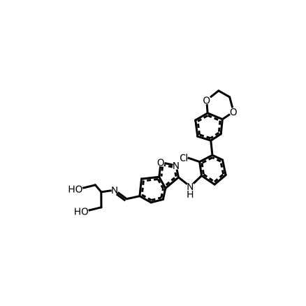 OCC(CO)N=Cc1ccc2c(Nc3cccc(-c4ccc5c(c4)OCCO5)c3Cl)noc2c1